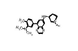 CC(=O)N1CC[C@H](Nc2cc(-c3ccc(C)c(N(C)C)c3)c3nccnc3c2)C1